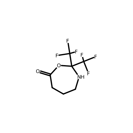 O=C1CCCNC(C(F)(F)F)(C(F)(F)F)O1